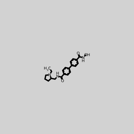 CCN1CCCC1CNC(=O)c1ccc(-c2ccc(C(=O)NO)cc2)cc1